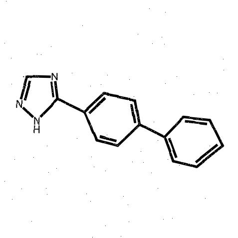 [c]1n[nH]c(-c2ccc(-c3ccccc3)cc2)n1